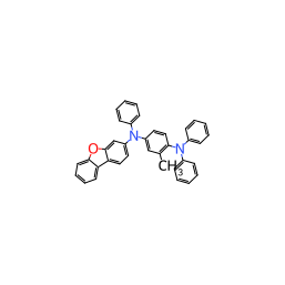 Cc1cc(N(c2ccccc2)c2ccc3c(c2)oc2ccccc23)ccc1N(c1ccccc1)c1ccccc1